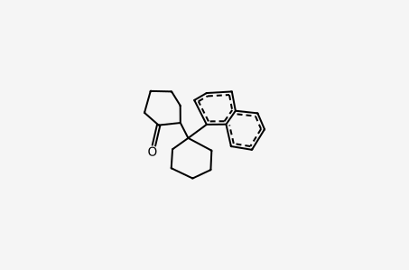 O=C1CCCCC1C1(c2cccc3ccccc23)CCCCC1